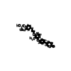 Cc1c(OCCC[C@H]2CCN(C(=O)O)[C@@H](C(C)(C)C)C2)ncnc1Oc1ccc(C2COS(=O)OC2)cc1